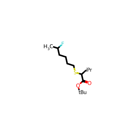 CC(F)CCCCSC(C(=O)OC(C)(C)C)C(C)C